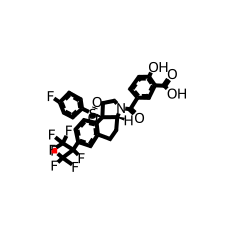 O=C(O)c1cc(C(=O)N2CC[C@@]3(S(=O)(=O)c4ccc(F)cc4)c4ccc(C(F)(C(F)(F)F)C(F)(F)F)cc4CC[C@@H]23)ccc1O